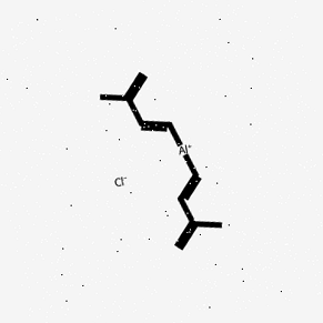 C=C(C)C=[CH][Al+][CH]=CC(=C)C.[Cl-]